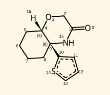 O=C1CO[C@H]2CCCC[C@@]2(c2cccs2)N1